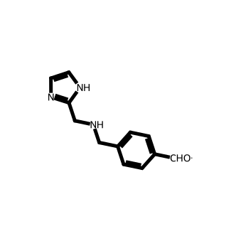 O=[C]c1ccc(CNCc2ncc[nH]2)cc1